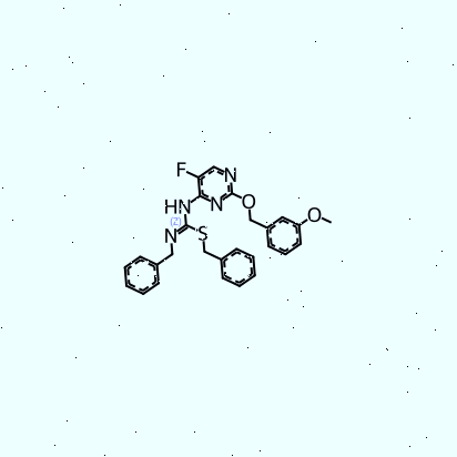 COc1cccc(COc2ncc(F)c(N/C(=N/Cc3ccccc3)SCc3ccccc3)n2)c1